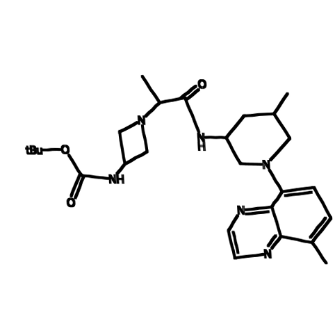 Cc1ccc(N2CC(C)CC(NC(=O)C(C)N3CC(NC(=O)OC(C)(C)C)C3)C2)c2nccnc12